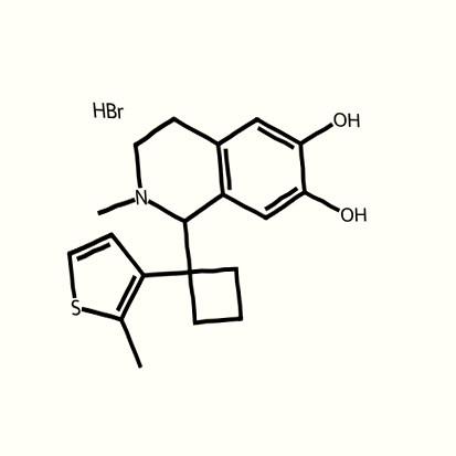 Br.Cc1sccc1C1(C2c3cc(O)c(O)cc3CCN2C)CCC1